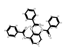 O=C(OC1=COCC(OC(=O)c2ccccc2)=C1OC(=O)c1ccccc1)c1ccccc1